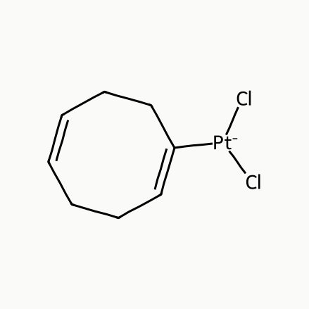 [Cl][Pt-]([Cl])[C]1=CCCC=CCC1